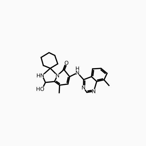 Cc1cc(Nc2ncnc3c(C)cccc23)c(=O)n2c1C(O)NC21CCCCC1